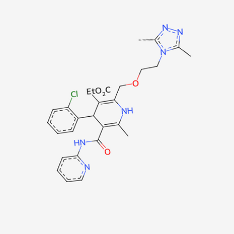 CCOC(=O)C1=C(COCCn2c(C)nnc2C)NC(C)=C(C(=O)Nc2ccccn2)C1c1ccccc1Cl